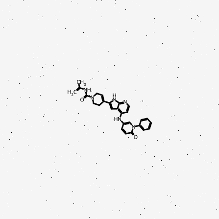 C=C(C)NC(=O)N1CC=C(c2cc3c(Nc4ccc(=O)n(-c5ccccc5)c4)ccnc3[nH]2)CC1